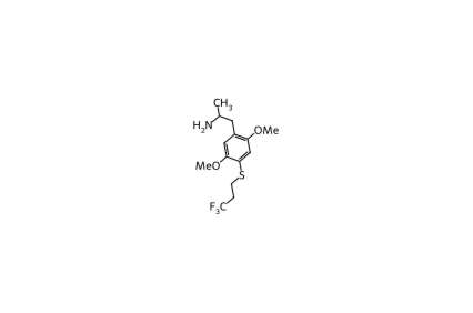 COc1cc(SCCC(F)(F)F)c(OC)cc1CC(C)N